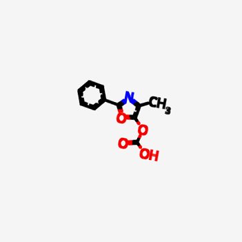 Cc1nc(-c2ccccc2)oc1OC(=O)O